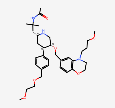 COCCCN1CCOc2ccc(CO[C@H]3CN[C@@H](CC(C)(C)NC(C)=O)C[C@@H]3c3ccc(COCCOC)cc3)cc21